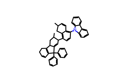 CC1C=Cc2c(-n3c4ccccc4c4ccccc43)ccc(C3C=C4C(CC3C)C3=C(C=CCC3)C4(c3ccccc3)c3ccccc3)c2C1